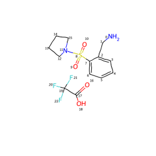 NCc1ccccc1S(=O)(=O)N1CCCC1.O=C(O)C(F)(F)F